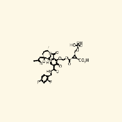 CC1=NO[C@@]2(CC[C@H](C)N3C[C@H]2n2cc(C(=O)NCc4ccc(F)cc4F)c(=O)c(OCOC(=O)[C@@H]4[C@H](COP(=O)(O)O)[C@H]4C(=O)O)c2C3=O)C1